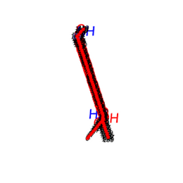 CCCCCCCCCCCCCCCCCC(=O)OCC(COP(=O)(O)OCCNC(=O)OOOOOOOOOOOOOOOOOOOOOOOOOOOOOOOOOOOOOOOOOOOOOOOOOOOOOOOOOOOOOOOOOOOOOOOOOOOO/C=C\OCCCNC(=O)CC)OC(=O)CCCCCCCCCCCCCCCCC